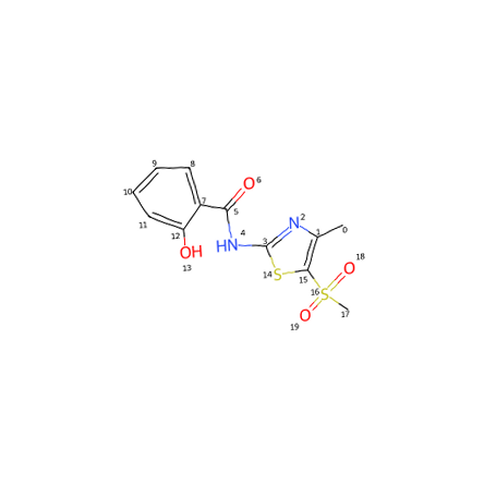 Cc1nc(NC(=O)c2ccccc2O)sc1S(C)(=O)=O